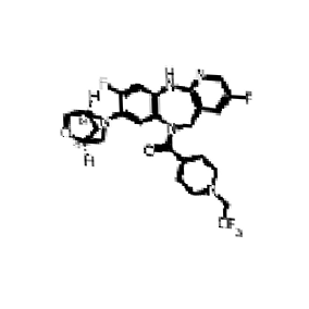 O=C(C1CCN(CC(F)(F)F)CC1)N1Cc2cc(F)cnc2Nc2cc(F)c(N3C[C@@H]4C[C@H]3CO4)cc21